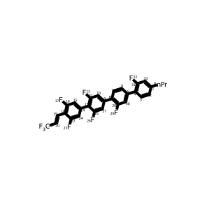 CCCc1ccc(-c2ccc(-c3cc(F)c(-c4cc(F)c(/C=C/C(F)(F)F)c(F)c4)c(F)c3)c(F)c2)c(F)c1